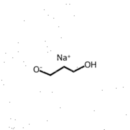 [Na+].[O-]CCCO